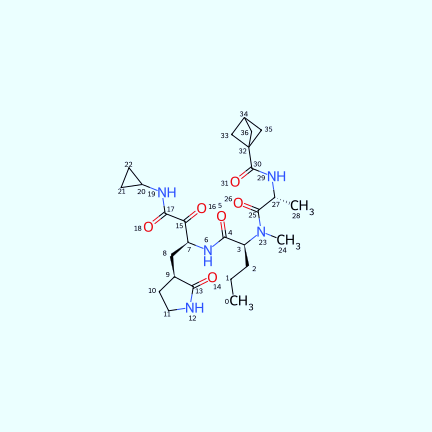 CCC[C@@H](C(=O)N[C@@H](C[C@@H]1CCNC1=O)C(=O)C(=O)NC1CC1)N(C)C(=O)[C@@H](C)NC(=O)C12CC(C1)C2